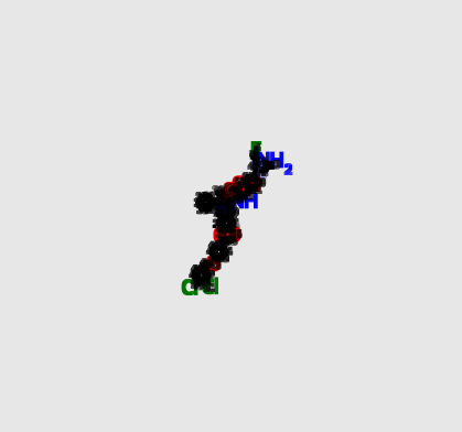 C=C/C=C(\C=C(/N)CF)c1ccc(C[C@H](NC(=O)[C@@H]2Cc3cc4c(cc3CN2[C@@H](CC)c2ccccc2)O[C@@H](c2ccc(OCc3ccc(Cl)c(Cl)c3)cc2)CO4)C(=O)O)cc1